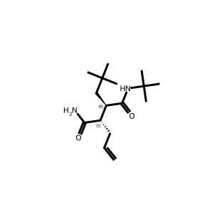 C=CC[C@H](C(N)=O)[C@@H](CC(C)(C)C)C(=O)NC(C)(C)C